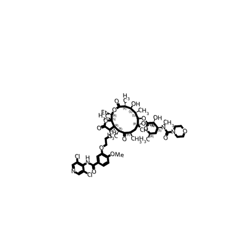 CC[C@H]1OC(=O)[C@H](C)[C@@H](O)[C@H](C)[C@@H](O[C@@H]2O[C@H](C)C[C@H](N(C)C(=O)N3CCOCC3)[C@H]2O)[C@](C)(OC)C[C@@H](C)C(=O)[C@H](C)[C@H]2[C@H](SCCOc3cc(C(=O)Nc4c(Cl)cncc4Cl)ccc3OC)C(=O)O[C@@]21C